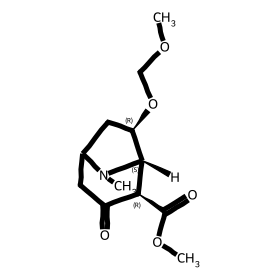 COCO[C@@H]1CC2CC(=O)[C@H](C(=O)OC)[C@@H]1N2C